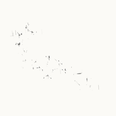 Cc1ccc(CNc2ncnc3c2ncn3[C@H]2CC[C@@H](COP(=O)(O)CP(=O)(O)O)O2)cc1